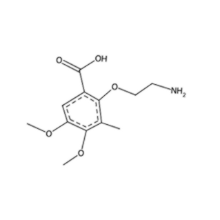 COc1cc(C(=O)O)c(OCCN)c(C)c1OC